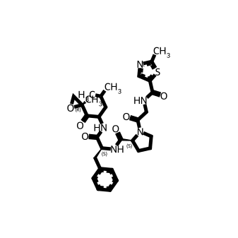 Cc1ncc(C(=O)NCC(=O)N2CCC[C@H]2C(=O)N[C@@H](Cc2ccccc2)C(=O)NC(CC(C)C)C(=O)[C@@]2(C)CO2)s1